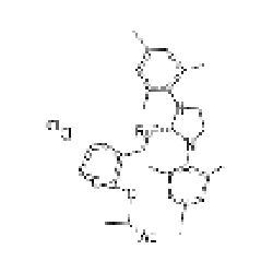 CC(=O)C(C)Oc1ccccc1[CH]=[Ru+2]=[C]1N(c2c(C)cc(C)cc2C)CCN1c1c(C)cc(C)cc1C.[Cl-].[Cl-]